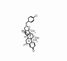 CNC(=O)[C@@]12ON(CC3C=CC(Cl)=CC3)C[C@@H]1C[C@H]1[C@@H]3C[C@H](F)C4=CC(=O)C=C[C@]4(C)[C@@]3(F)[C@@H](O)C[C@@]12C